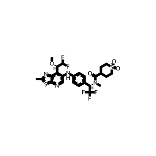 CO[C@@H](c1c(Nc2ccc([C@H](N(C)C(=O)C3CCS(=O)(=O)CC3)C(F)(F)F)cc2)cnc2sc(C)nc12)C(F)F